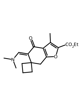 CCOC(=O)c1oc2c(c1C)C(=O)/C(=C/N(C)C)C1(CCC1)C2